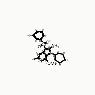 COc1nc(C)nc2c(S(=O)(=O)c3cccc(F)c3)c(N)n(C3CCCCC3)c12